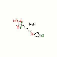 O=C(O)C1(C(F)(F)CCCCCOc2ccc(Cl)cc2)CO1.[NaH]